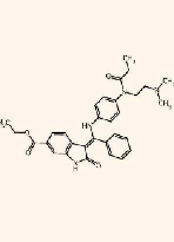 CCOC(=O)c1ccc2c(c1)NC(=O)C2=C(Nc1ccc(N(CCN(C)C)C(=O)CC)cc1)c1ccccc1